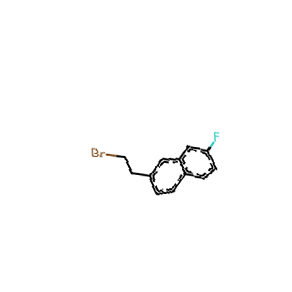 Fc1ccc2ccc(CCBr)cc2c1